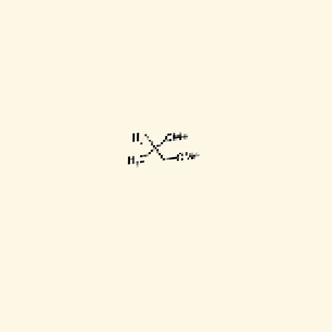 COCC(C)(N)OC